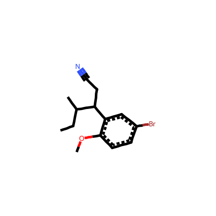 CCC(C)C(CC#N)c1cc(Br)ccc1OC